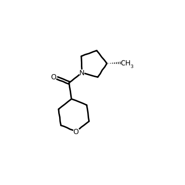 C[C@H]1CCN(C(=O)C2CCOCC2)C1